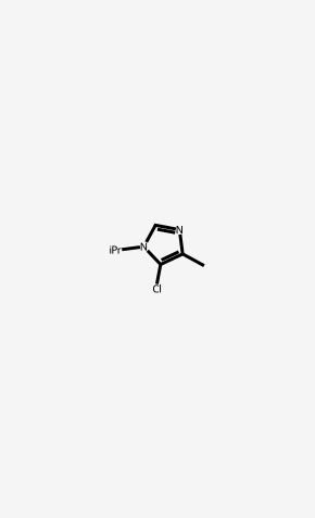 Cc1ncn(C(C)C)c1Cl